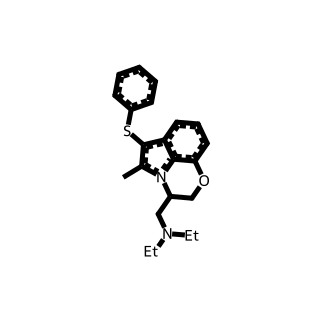 CCN(CC)CC1COc2cccc3c(Sc4ccccc4)c(C)n1c23